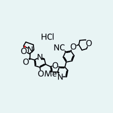 COc1cc(C(=O)N2CC3CCC2CO3)ncc1-c1cc2nccc(-c3ccc(OC4CCOCC4)c(C#N)c3)c2o1.Cl